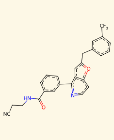 N#CCCNC(=O)c1cccc(-c2nccc3oc(Cc4cccc(C(F)(F)F)c4)cc23)c1